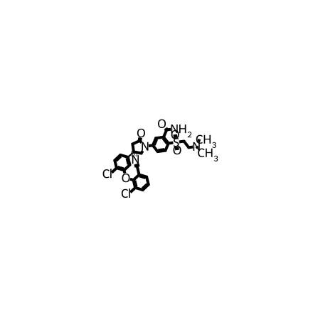 CN(C)CCS(=O)(=O)c1ccc(N2C[C@@H](c3ccc(Cl)c(Oc4c(Cl)cccc4C#N)c3)CC2=O)cc1C(N)=O